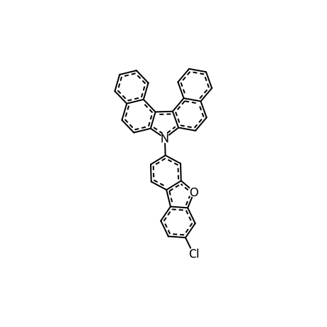 Clc1ccc2c(c1)oc1cc(-n3c4ccc5ccccc5c4c4c5ccccc5ccc43)ccc12